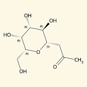 CC(=O)C[C@@H]1O[C@H](CO)[C@H](O)[C@H](O)[C@H]1O